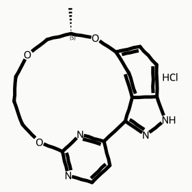 C[C@H]1COCCCOc2nccc(n2)-c2n[nH]c3ccc(cc23)O1.Cl